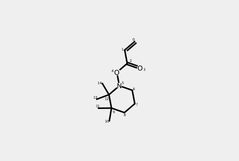 C=CC(=O)ON1CCCC(C)(C)C1(C)C